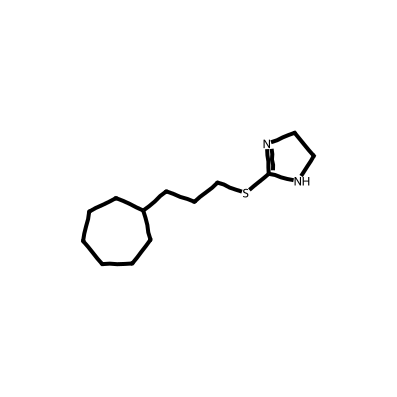 C1CCCC(CCCSC2=NCCN2)CC1